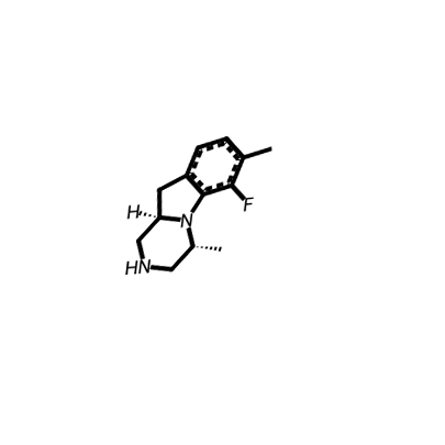 Cc1ccc2c(c1F)N1[C@@H](CNC[C@H]1C)C2